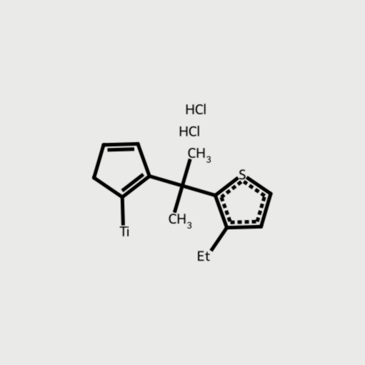 CCc1ccsc1C(C)(C)C1=[C]([Ti])CC=C1.Cl.Cl